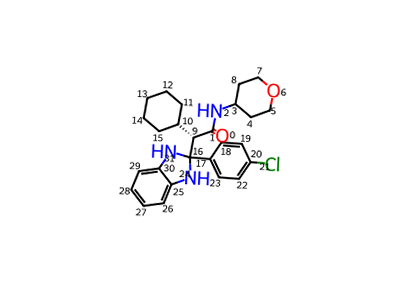 O=C(NC1CCOCC1)[C@@H](C1CCCCC1)C1(c2ccc(Cl)cc2)Nc2ccccc2N1